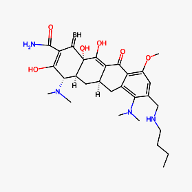 B=C1C(C(N)=O)=C(O)[C@@H](N(C)C)[C@@H]2C[C@@H]3Cc4c(c(OC)cc(CNCCCC)c4N(C)C)C(=O)C3=C(O)[C@]12O